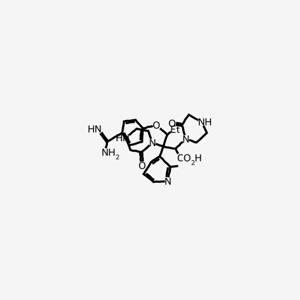 CCC(Oc1ccc(C(=N)N)cc1)C(c1cccnc1C)(C(C(=O)O)N1CCNCC1=O)N1CCNCC1=O